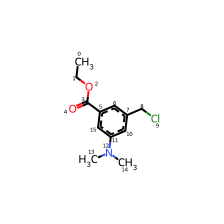 CCOC(=O)c1cc(CCl)cc(N(C)C)c1